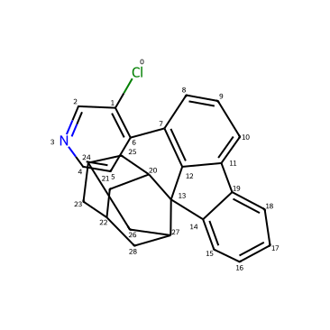 Clc1cnccc1-c1cccc2c1C1(c3ccccc3-2)C2CC3CC(C2)CC1C3